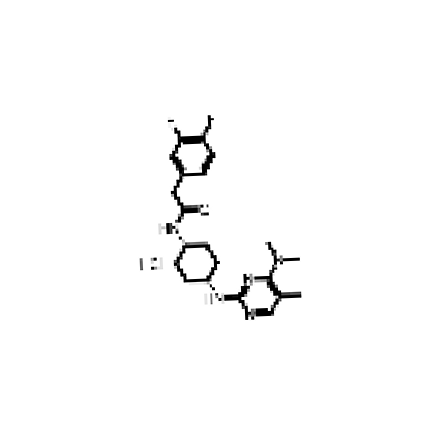 Cc1cnc(N[C@H]2CC[C@@H](NC(=O)Cc3ccc(F)c(F)c3)CC2)nc1N(C)C.Cl